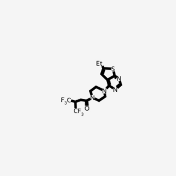 CCc1cc2c(N3CCN(C(=O)CC(C(F)(F)F)C(F)(F)F)CC3)ncnc2s1